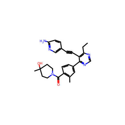 CCc1ncnc(-c2ccc(C(=O)N3CCC(C)(O)CC3)c(C)c2)c1C#Cc1ccc(N)nc1